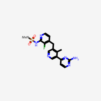 CNS(=O)(=O)Nc1nccc(Cc2cncc(-c3ccnc(N)n3)c2C)c1F